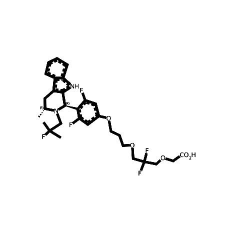 C[C@@H]1Cc2c([nH]c3ccccc23)[C@@H](c2c(F)cc(OCCCOCC(F)(F)COCC(=O)O)cc2F)N1CC(C)(C)F